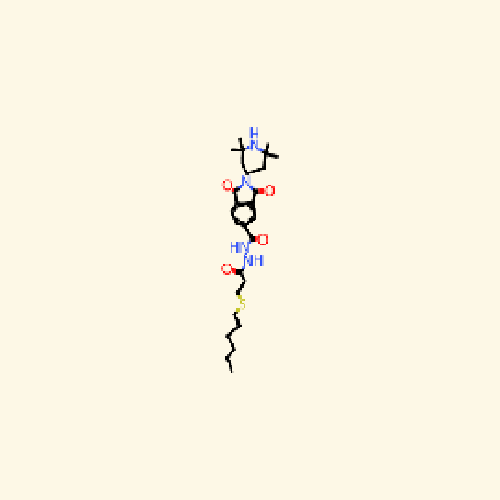 CCCCCCSCCC(=O)NNC(=O)c1ccc2c(c1)C(=O)N(C1CC(C)(C)NC(C)(C)C1)C2=O